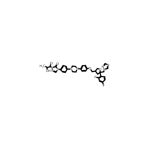 CCC(C(C)O)n1ncn(-c2ccc(N3CCN(c4ccc(OCC5COC(Cn6cncn6)(c6ccc(F)cc6F)C5)cc4)CC3)cc2)c1=O